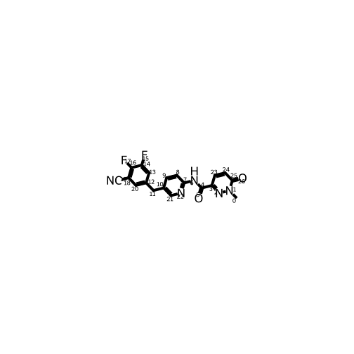 Cn1nc(C(=O)Nc2ccc(Cc3cc(F)c(F)c(C#N)c3)cn2)ccc1=O